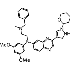 COc1cc(OC)cc(N(CCN(C)Cc2ccccc2)c2ccc3ncc(C4=CN(C5CCCCO5)NC4)nc3c2)c1